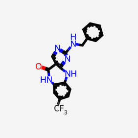 O=C1Nc2cc(C(F)(F)F)ccc2Nc2nc(NCc3ccccc3)ncc21